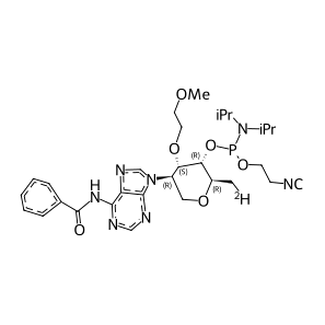 [2H]C[C@H]1OC[C@@H](n2cnc3c(NC(=O)c4ccccc4)ncnc32)[C@H](OCCOC)[C@@H]1OP(OCC[N+]#[C-])N(C(C)C)C(C)C